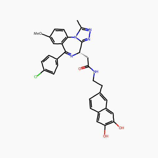 COc1ccc2c(c1)C(c1ccc(Cl)cc1)=N[C@@H](CC(=O)NCCc1ccc3cc(O)c(O)cc3c1)c1nnc(C)n1-2